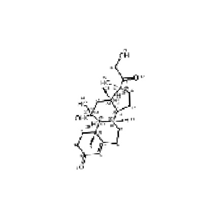 C[C@]12CCC(=O)C=C1CC[C@H]1[C@@H]3CC[C@](O)(C(=O)CO)[C@@]3(C)C[C@@](O)(C=O)[C@@H]12